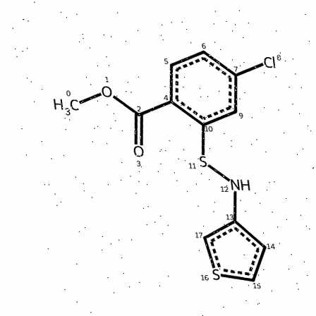 COC(=O)c1ccc(Cl)cc1SNc1ccsc1